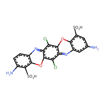 Nc1cc2c(c(S(=O)(=O)O)c1)Oc1c(Cl)c3c(c(Cl)c1=N2)Oc1c(ccc(N)c1S(=O)(=O)O)N=3